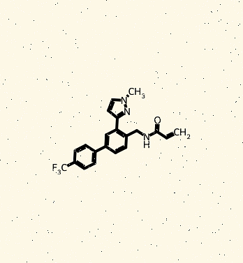 C=CC(=O)NCc1ccc(-c2ccc(C(F)(F)F)cc2)cc1-c1ccn(C)n1